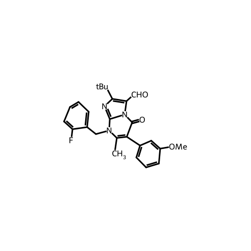 COc1cccc(-c2c(C)n(Cc3ccccc3F)c3nc(C(C)(C)C)c(C=O)n3c2=O)c1